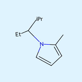 CCC(C(C)C)n1cccc1C